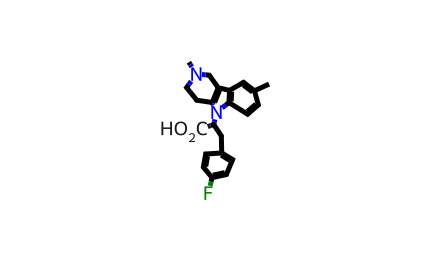 Cc1ccc2c(c1)c1c(n2C(Cc2ccc(F)cc2)C(=O)O)CCN(C)C1